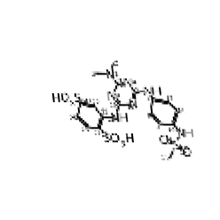 CN(C)c1nc(Nc2ccc(NS(C)(=O)=O)cc2)nc(Nc2cc(S(=O)(=O)O)ccc2S(=O)(=O)O)n1